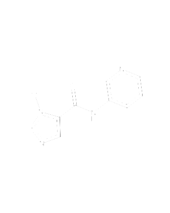 O=C(Nc1cccnc1)c1cno[n+]1[O-]